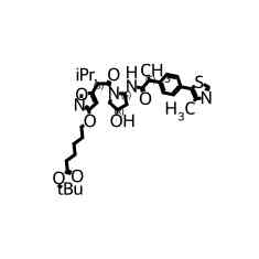 Cc1ncsc1-c1ccc([C@H](C)C(=O)N[C@@H]2C[C@@H](O)CN2C(=O)[C@H](c2cc(OCCCCCC(=O)OC(C)(C)C)no2)C(C)C)cc1